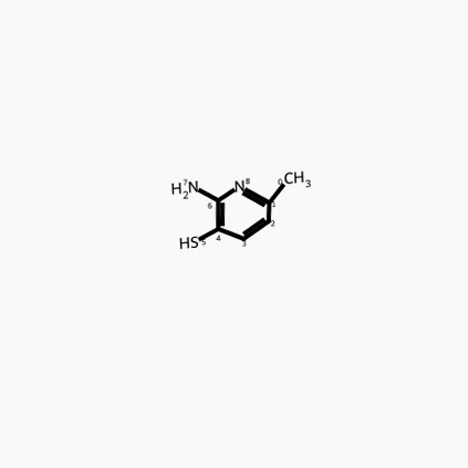 Cc1ccc(S)c(N)n1